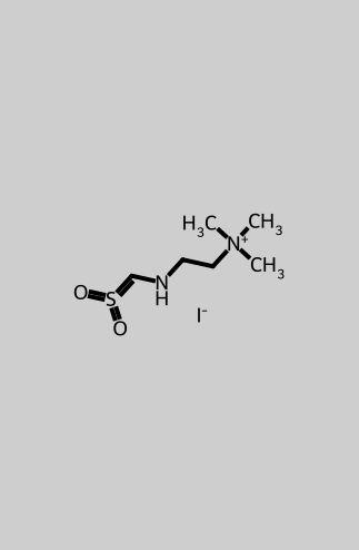 C[N+](C)(C)CCNC=S(=O)=O.[I-]